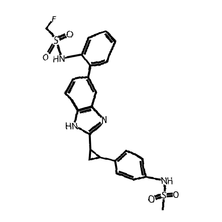 CS(=O)(=O)Nc1ccc(C2CC2c2nc3cc(-c4ccccc4NS(=O)(=O)CF)ccc3[nH]2)cc1